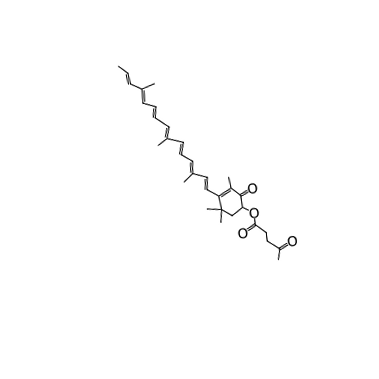 C/C=C/C(C)=C/C=C/C=C(C)/C=C/C=C(C)/C=C/C1=C(C)C(=O)C(OC(=O)CCC(C)=O)CC1(C)C